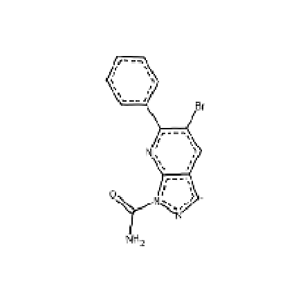 NC(=O)n1n[c]c2cc(Br)c(-c3ccccc3)nc21